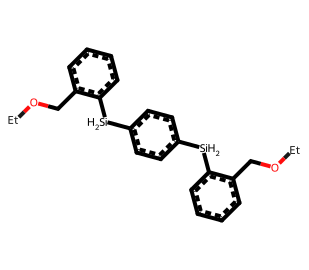 CCOCc1ccccc1[SiH2]c1ccc([SiH2]c2ccccc2COCC)cc1